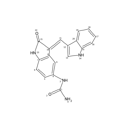 NC(=O)Nc1ccc2c(c1)/C(=C\c1c[nH]c3ccccc13)C(=O)N2